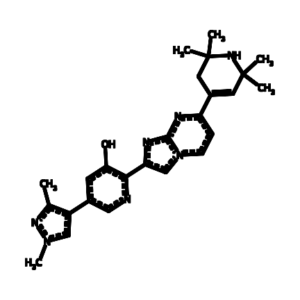 Cc1nn(C)cc1-c1cnc(-c2cn3ccc(C4=CC(C)(C)NC(C)(C)C4)nc3n2)c(O)c1